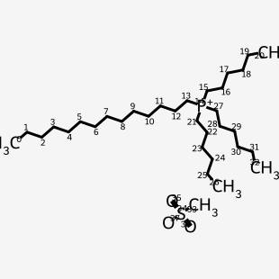 CCCCCCCCCCCCCC[P+](CCCCCC)(CCCCCC)CCCCCC.CS(=O)(=O)[O-]